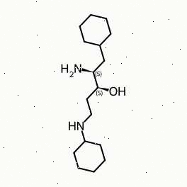 N[C@@H](CC1CCCCC1)[C@@H](O)CCNC1CCCCC1